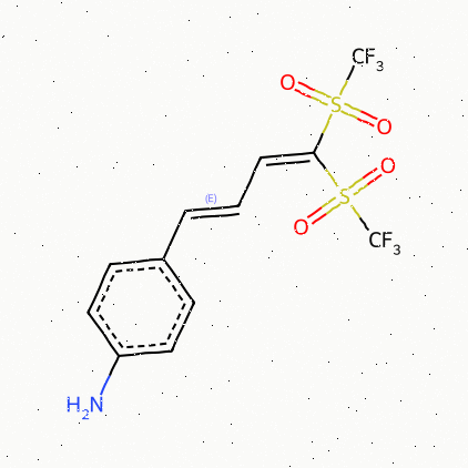 Nc1ccc(/C=C/C=C(S(=O)(=O)C(F)(F)F)S(=O)(=O)C(F)(F)F)cc1